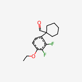 CCOc1ccc(C2(C=O)CCCCC2)c(F)c1F